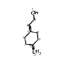 C=C1CCC(=CCO)CC1